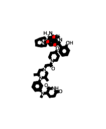 CC1CN(CC(=O)N2CCC(Oc3cccc(N4C5CCC4CN(c4cc(-c6ccccc6O)nnc4N)C5)c3)CC2)CC(C)N1c1cccc(N(C)C2CCC(=O)NC2=O)c1